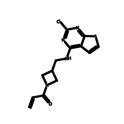 C=CC(=O)N1CC(CNc2nc(Cl)nc3sccc23)C1